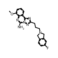 COc1cccc2c1nc(N)n1nc(CCCN3Cc4ccc(F)cc4C3)nc21